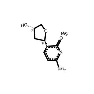 Nc1ccn([C@H]2C[C@H](O)CO2)c(=O)n1.[Mg]